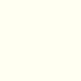 O=C(O)C1CC(C(F)(F)F)Oc2c(C=NO)cccc21